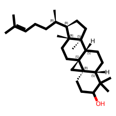 CC(C)=CCC[C@@H](C)[C@H]1CC[C@@]2(C)[C@@H]3CC[C@@H]4C(C)(C)C(O)CC[C@@]45C[C@@]35CC[C@]12C